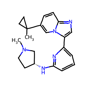 CN1CC[C@@H](Nc2cccc(-c3cnc4ccc(C5(C)CC5)cn34)n2)C1